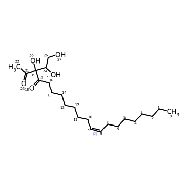 CCCCCCCC/C=C\CCCCCCCC(=O)C(O)(C(C)=O)C(O)CO